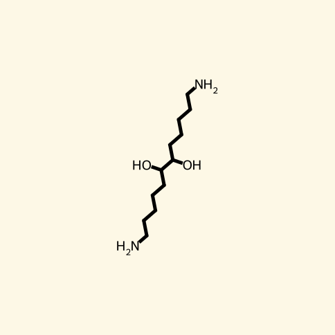 NCCCCCC(O)C(O)CCCCCN